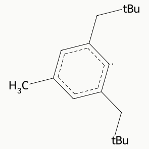 Cc1cc(CC(C)(C)C)[c]c(CC(C)(C)C)c1